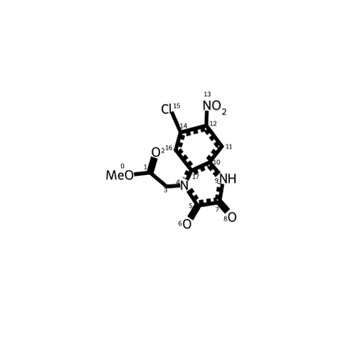 COC(=O)Cn1c(=O)c(=O)[nH]c2cc([N+](=O)[O-])c(Cl)cc21